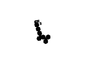 FC(F)(F)c1ccc(-c2ccc(-c3ccc(-n4c5ccccc5c5cc(N(c6ccccc6)c6ccccc6)ccc54)cc3)cc2)cc1